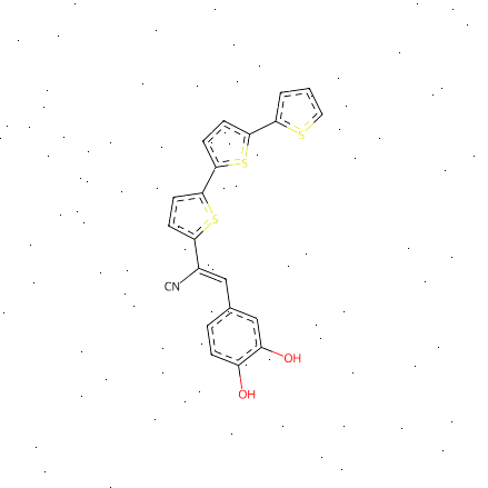 [C-]#[N+]/C(=C\c1ccc(O)c(O)c1)c1ccc(-c2ccc(-c3cccs3)s2)s1